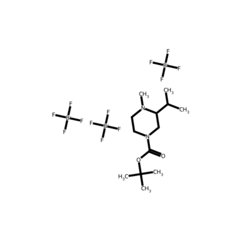 CC(C)C1CN(C(=O)OC(C)(C)C)CCN1C.F[B-](F)(F)F.F[B-](F)(F)F.F[B-](F)(F)F